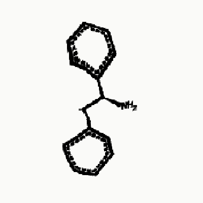 N[C@@H]([CH]c1ccccc1)c1ccccc1